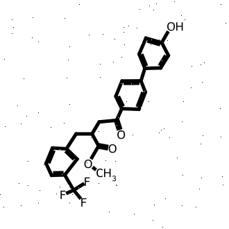 COC(=O)C(CC(=O)c1ccc(-c2ccc(O)cc2)cc1)Cc1cccc(C(F)(F)F)c1